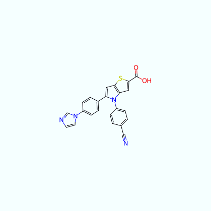 N#Cc1ccc(-n2c(-c3ccc(-n4ccnc4)cc3)cc3sc(C(=O)O)cc32)cc1